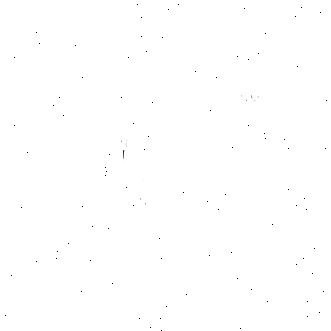 CNC(=O)c1ccc(S(=O)(=O)N[C@@H](C(=O)N(Cc2ccco2)Cc2cccs2)c2ccccc2)cc1